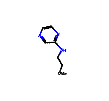 COCCNc1cnccn1